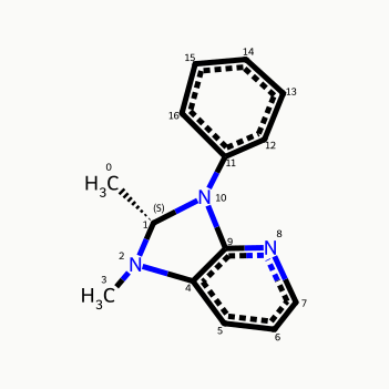 C[C@H]1N(C)c2cccnc2N1c1ccccc1